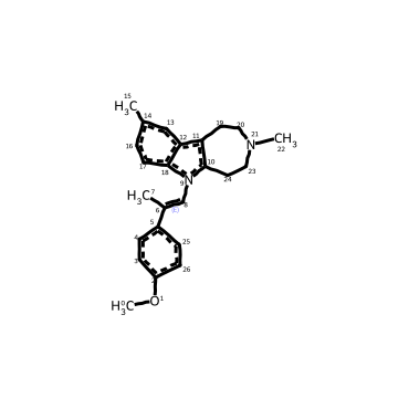 COc1ccc(/C(C)=C/n2c3c(c4cc(C)ccc42)CCN(C)CC3)cc1